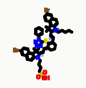 CCCCC[N+]1=C(/C=C/C2=C(Sc3nnnn3-c3ccccc3)C(=C/C=C3/N(CCCCS(=O)(=O)O)c4ccc5cc(Br)ccc5c4C3(C)C)/CCC2)C(C)(C)c2c1ccc1cc(Br)ccc21